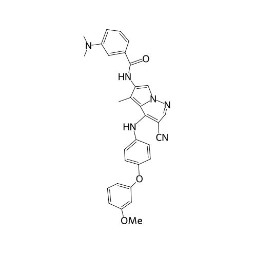 COc1cccc(Oc2ccc(Nc3c(C#N)cnn4cc(NC(=O)c5cccc(N(C)C)c5)c(C)c34)cc2)c1